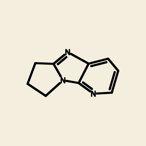 c1cnc2c(c1)nc1n2CCC1